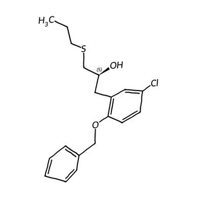 CCCSC[C@@H](O)Cc1cc(Cl)ccc1OCc1ccccc1